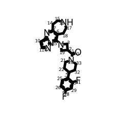 O=C(C1CN(c2c3c(nc4ccnn24)CCNCC3)C1)N1CCC(c2ccc(F)cc2F)CC1